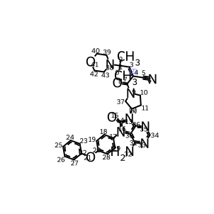 CC(C)(/C=C(/C#N)C(=O)N1CC[C@@H](n2c(=O)n(-c3ccc(Oc4ccccc4)cc3)c3c(N)ncnc32)C1)N1CCOCC1